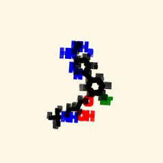 CC(C)(C)NCC(O)COc1cc(-c2ccc(NN)nn2)ccc1Br